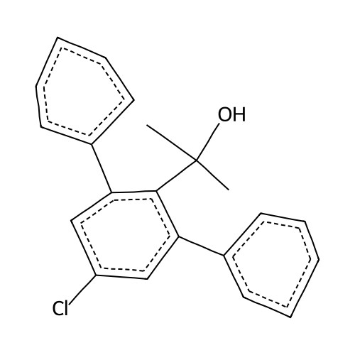 CC(C)(O)c1c(-c2ccccc2)cc(Cl)cc1-c1ccccc1